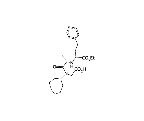 CCOC(=O)C(CCc1ccccc1)N[C@@H](C)C(=O)N(CC(=O)O)C1CCCCCC1